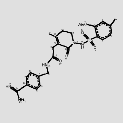 COc1cc(C)ccc1S(=O)(=O)NN1CCC(C)=C(CC(=O)NCc2ccc(C(=N)N)cc2)C1=O